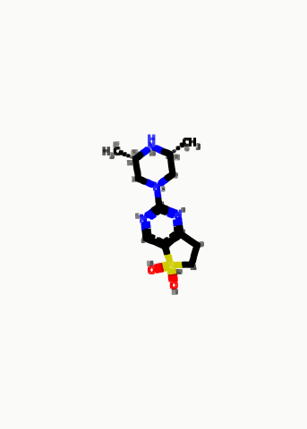 C[C@@H]1CN(c2ncc3c(n2)CCS3(=O)=O)C[C@H](C)N1